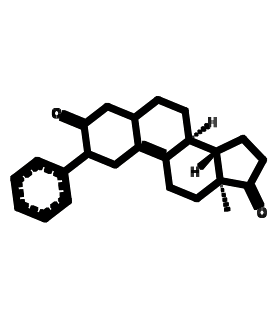 C[C@]12CCC3=C4CC(c5ccccc5)C(=O)CC4CC[C@H]3[C@@H]1CCC2=O